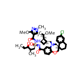 C=CC(=O)[C@H](C)C[S@](=O)(=NC(=O)c1ccc2c(c1)N(C[C@@H]1CC[C@H]1[C@H](C)OC)C[C@@]1(CCCc3cc(Cl)ccc31)CO2)NC(=O)c1cn(C)nc1OC